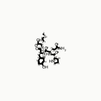 CSCC[C@H](NC(=O)[C@H](Cc1ccc(O)cc1)NC(=O)[C@H](CCC(N)=O)NC(=O)[C@@H]1CCCN1)C(=O)O